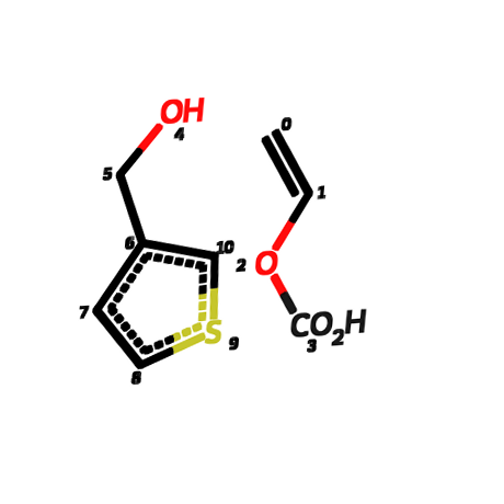 C=COC(=O)O.OCc1ccsc1